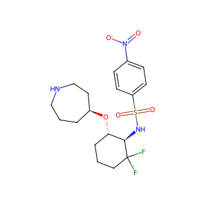 O=[N+]([O-])c1ccc(S(=O)(=O)N[C@@H]2[C@@H](O[C@H]3CCCNCC3)CCCC2(F)F)cc1